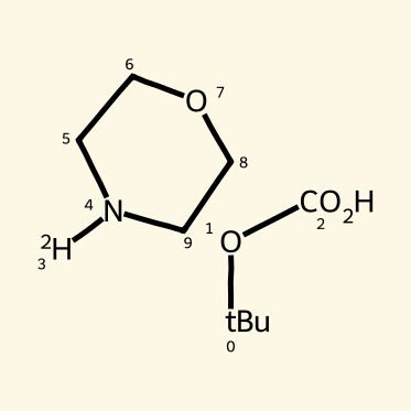 CC(C)(C)OC(=O)O.[2H]N1CCOCC1